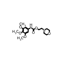 COc1cc(NC(=O)OCCN2CCOCC2)cc(OC)c1OC